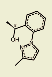 Cc1ccn(-c2ccccc2[C@H](C)O)n1